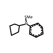 CSN(c1ccccc1)C1CCCC1